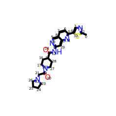 Cc1ncc(-c2ccc3cnc(NC(=O)C4CCN(C(=O)CN5CCCC5)CC4)cc3n2)s1